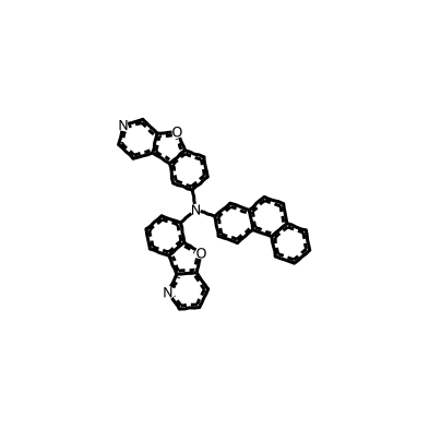 c1ccc2c(c1)ccc1cc(N(c3ccc4oc5cnccc5c4c3)c3cccc4c3oc3cccnc34)ccc12